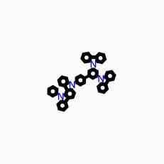 c1ccc(-n2c3ccccc3c3ccc4c(c5ccccc5n4-c4ccc(-c5cc(-n6c7ccccc7c7ccccc76)cc(-n6c7ccccc7c7ccccc76)c5)cc4)c32)cc1